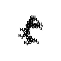 CCC(C)(C)OC(=O)OC[C@H](C)OC(=O)[C@@H](N)Cc1ccc(OC(=O)CC(C)C)c(OC(=O)CC(C)C)c1